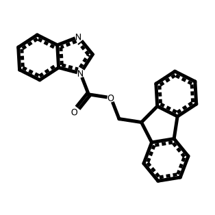 O=C(OCC1c2ccccc2-c2ccccc21)n1cnc2ccccc21